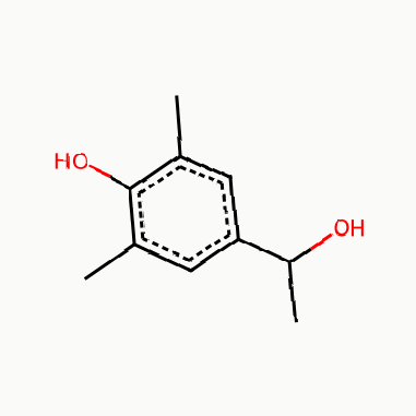 Cc1cc(C(C)O)cc(C)c1O